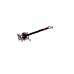 C#CC#CC#CC#CC#CC#CC#CC#CC#CC#CC#C[Si](C)(O[Si](C)(C)C)O[Si](C)(C)C